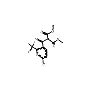 COC(=O)C(C(=O)OC)C(=O)c1ccc(Cl)nc1C(F)(F)F